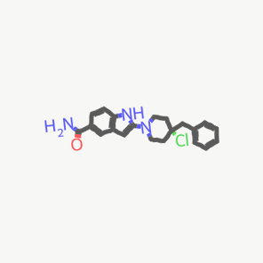 NC(=O)c1ccc2[nH]c(N3CCC(Cl)(Cc4ccccc4)CC3)cc2c1